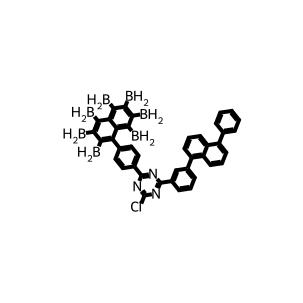 Bc1c(B)c(B)c2c(-c3ccc(-c4nc(Cl)nc(-c5cccc(-c6cccc7c(-c8ccccc8)cccc67)c5)n4)cc3)c(B)c(B)c(B)c2c1B